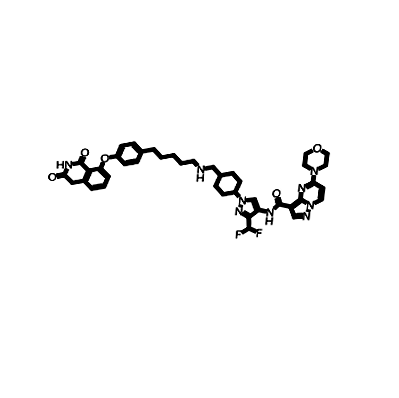 O=C1Cc2cccc(Oc3ccc(CCCCCNCC4CCC(n5cc(NC(=O)c6cnn7ccc(N8CCOCC8)nc67)c(C(F)F)n5)CC4)cc3)c2C(=O)N1